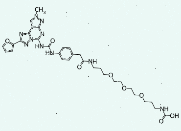 Cn1cc2c(nc(NC(=O)Nc3ccc(CC(=O)NCCCOCCOCCOCCCNC(=O)O)cc3)n3nc(-c4ccco4)nc23)n1